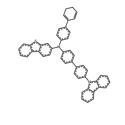 C1=CC(c2ccc(N(c3ccc(-c4ccc(-n5c6ccccc6c6ccccc65)cc4)cc3)c3ccc4c(c3)sc3ccccc34)cc2)=CCC1